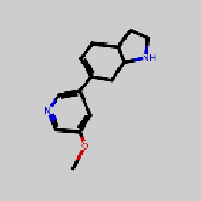 COc1cncc(C2=CCC3CCNC3C2)c1